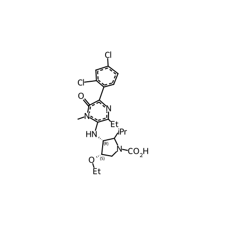 CCO[C@H]1CN(C(=O)O)C(C(C)C)[C@H]1Nc1c(CC)nc(-c2ccc(Cl)cc2Cl)c(=O)n1C